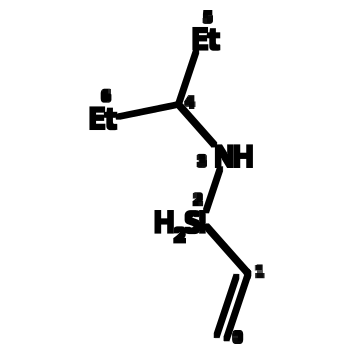 C=C[SiH2]NC(CC)CC